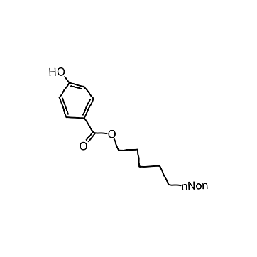 CCCCCCCCCCCCCCOC(=O)c1ccc(O)cc1